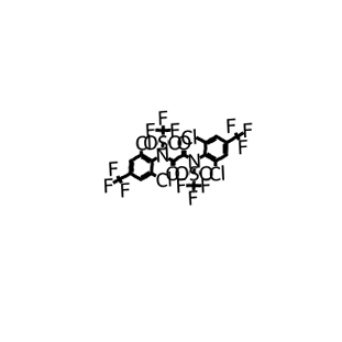 O=C(C(=O)N(c1c(Cl)cc(C(F)(F)F)cc1Cl)S(=O)(=O)C(F)(F)F)N(c1c(Cl)cc(C(F)(F)F)cc1Cl)S(=O)(=O)C(F)(F)F